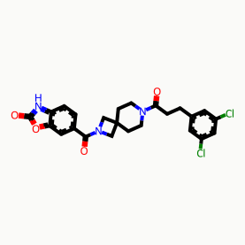 O=C(CCc1cc(Cl)cc(Cl)c1)N1CCC2(CC1)CN(C(=O)c1ccc3[nH]c(=O)oc3c1)C2